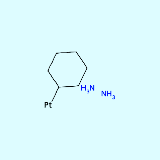 N.N.[Pt][CH]1CCCCC1